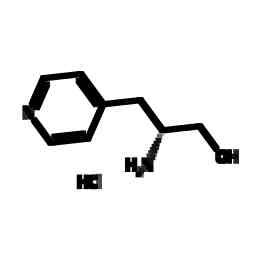 Cl.N[C@@H](CO)Cc1ccncc1